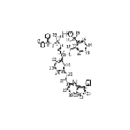 COC(=O)CC1(CS[C@H](CCc2ccccc2C(C)(C)O)c2cccc(CCc3ccc4scc(Cl)c4n3)c2)CC1